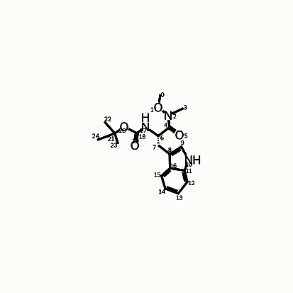 CON(C)C(=O)[C@H](Cc1c[nH]c2ccccc12)NC(=O)OC(C)(C)C